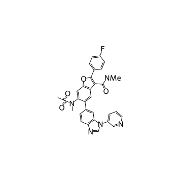 CNC(=O)c1c(-c2ccc(F)cc2)oc2cc(N(C)S(C)(=O)=O)c(-c3ccc4ncn(-c5cccnc5)c4c3)cc12